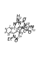 CCn1cc(-c2c(-c3ccccc3)nc(N)[n+]3c(=O)n(Cc4ncoc4C(F)(F)F)[nH]c23)ccc1=O